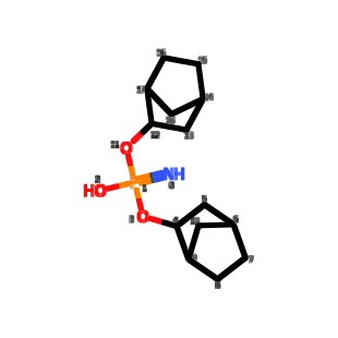 N=P(O)(OC1CC2CCC1C2)OC1CC2CCC1C2